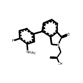 C=C(C#N)CN1Cc2c(cccc2-c2ccc(F)c(NC(C)=O)c2)C1=O